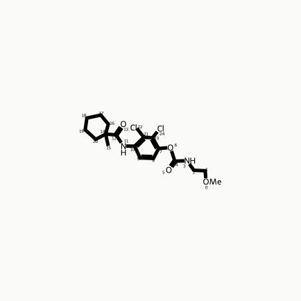 COCCNC(=O)Oc1ccc(NC(=O)C2(C)CCCCC2)c(Cl)c1Cl